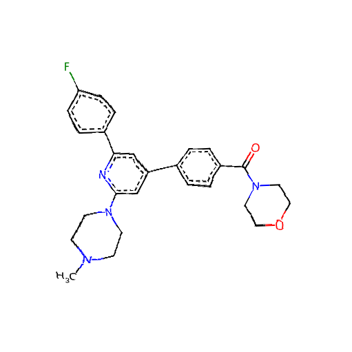 CN1CCN(c2cc(-c3ccc(C(=O)N4CCOCC4)cc3)cc(-c3ccc(F)cc3)n2)CC1